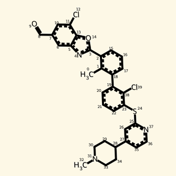 Cc1c(-c2nc3cc(C=O)cc(Cl)c3o2)cccc1-c1cccc(Sc2cc(C3CCN(C)CC3)ccn2)c1Cl